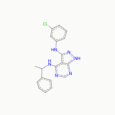 CC(Nc1ncnc2[nH]nc(Nc3cccc(Cl)c3)c12)c1ccccc1